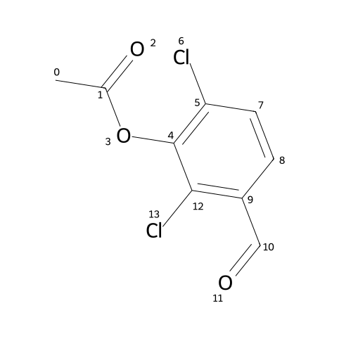 CC(=O)Oc1c(Cl)ccc(C=O)c1Cl